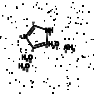 O.O.O.[AlH3].c1c[nH]cn1